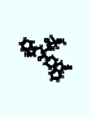 CC(=O)N1CC2(CCN(C(=O)[C@@H](Cc3c[nH]c4ccccc34)NC(=O)C(C)(C)N)CC2)c2ccccc21